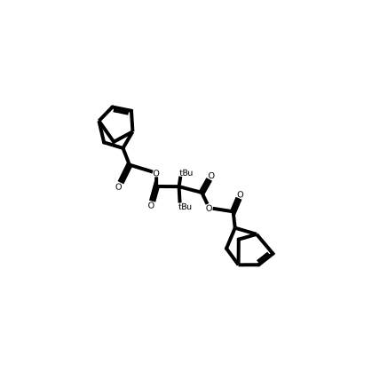 CC(C)(C)C(C(=O)OC(=O)C1CC2C=CC1C2)(C(=O)OC(=O)C1CC2C=CC1C2)C(C)(C)C